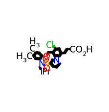 Cc1cc(OCc2ccc(/C=C/C(=O)O)cc2Cl)c(N(CC(C)C)S(=O)(=O)c2cccnc2)cc1C